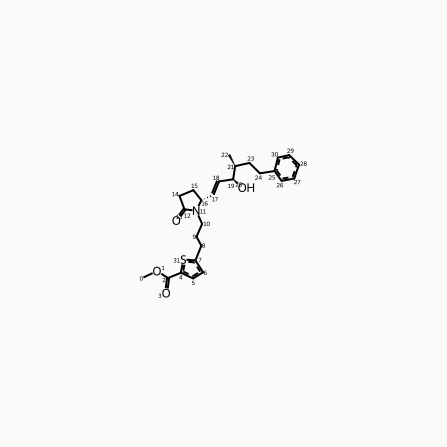 COC(=O)c1ccc(CCCN2C(=O)CC[C@@H]2C=C[C@H](O)[C@@H](C)CCc2ccccc2)s1